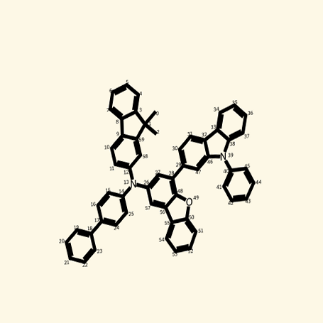 CC1(C)c2ccccc2-c2ccc(N(c3ccc(-c4ccccc4)cc3)c3cc(-c4ccc5c6ccccc6n(-c6ccccc6)c5c4)c4oc5ccccc5c4c3)cc21